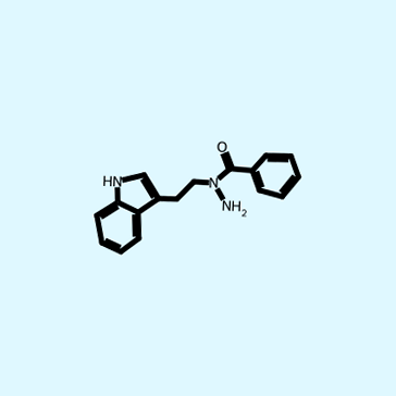 NN(CCc1c[nH]c2ccccc12)C(=O)c1ccccc1